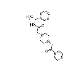 C[C@@H](NC(=O)CN1CCN(CC(=O)c2ccccc2)CC1)c1ccccc1